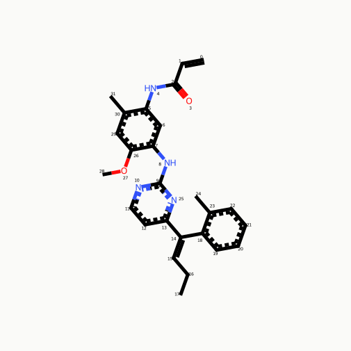 C=CC(=O)Nc1cc(Nc2nccc(/C(=C/CC)c3ccccc3C)n2)c(OC)cc1C